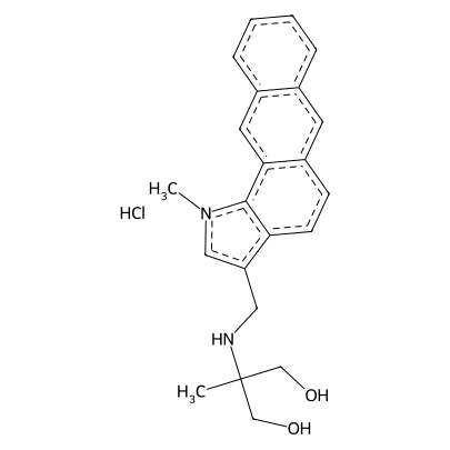 Cl.Cn1cc(CNC(C)(CO)CO)c2ccc3cc4ccccc4cc3c21